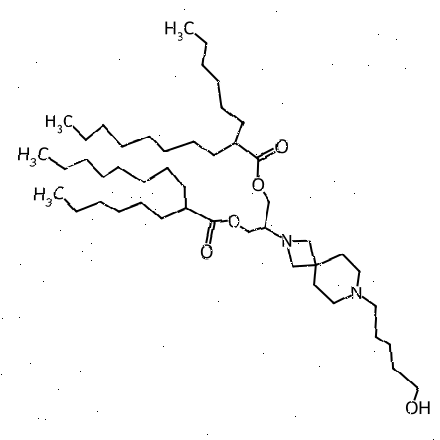 CCCCCCCCC(CCCCCC)C(=O)OCC(COC(=O)C(CCCCCC)CCCCCCCC)N1CC2(CCN(CCCCCO)CC2)C1